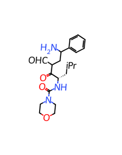 CC(C)C[C@H](NC(=O)N1CCOCC1)C(=O)C(C=O)CC(N)c1ccccc1